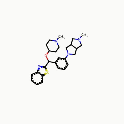 CN1CCC(OC(c2cccc(N3CC4CN(C)CC4C3)c2)c2nc3ccccc3s2)CC1